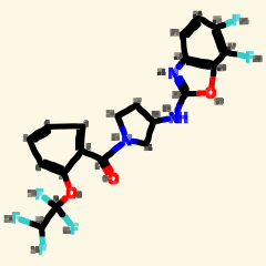 O=C(c1ccccc1OC(F)(F)C(F)F)N1CCC(Nc2nc3ccc(F)c(F)c3o2)C1